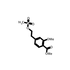 COC(=O)c1ccc(CCOS(C)(=O)=O)cc1OC